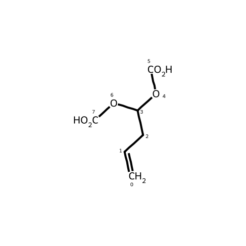 C=CCC(OC(=O)O)OC(=O)O